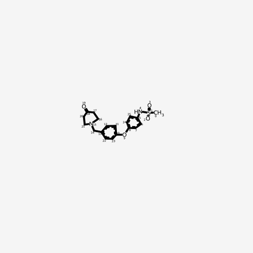 CS(=O)(=O)Nc1ccc(Oc2ccc(CN3CCC(=O)CC3)cc2)cc1